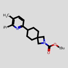 Cc1ccc(C2CCC3(CC2)CN(C(=O)OC(C)(C)C)C3)nc1C(C)C